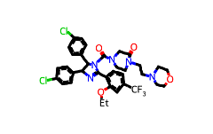 CCOc1cc(C(F)(F)F)ccc1C1=NC(c2ccc(Cl)cc2)C(c2ccc(Cl)cc2)N1C(=O)N1CCN(CCN2CCOCC2)C(=O)C1